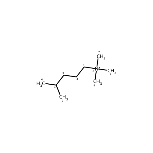 CC(C)CCC[N+](C)(C)C